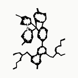 CCCCC(CC)Cc1cc(-c2ccc3c(c2)C(c2ccc(C)cn2)(c2ccc(C)cn2)c2cc(C)ccc2-3)cc2c(CC(CC)CCCC)cc(C)cc12